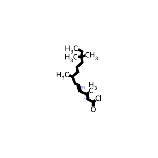 CCC(C)(C)CCCC(C)C/C=C/C(C)=C/C(=O)Cl